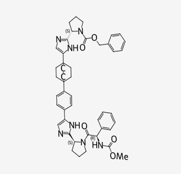 COC(=O)N[C@@H](C(=O)N1CCC[C@H]1c1ncc(-c2ccc(C34CCC(c5cnc([C@@H]6CCCN6C(=O)OCc6ccccc6)[nH]5)(CC3)CC4)cc2)[nH]1)c1ccccc1